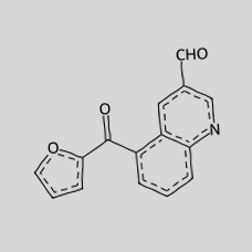 O=Cc1cnc2cccc(C(=O)c3ccco3)c2c1